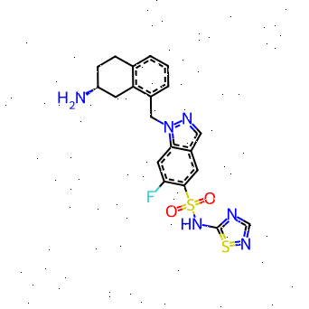 N[C@H]1CCc2cccc(Cn3ncc4cc(S(=O)(=O)Nc5ncns5)c(F)cc43)c2C1